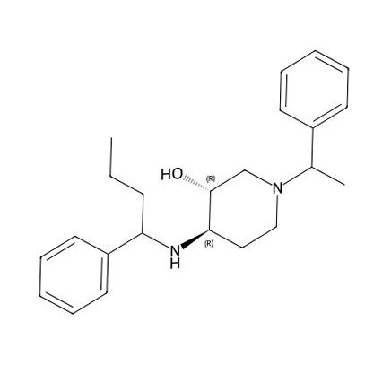 CCCC(N[C@@H]1CCN(C(C)c2ccccc2)C[C@H]1O)c1ccccc1